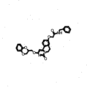 O=C(COc1ccc2c(c1)CCn1c-2cc(OCC2COc3ccccc3O2)nc1=O)NCc1ccccc1